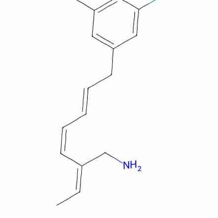 C\C=C(/C=C\C=C\Cc1cc(C)cc(F)c1)CN